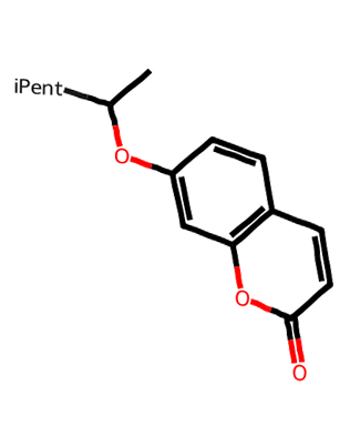 CCCC(C)C(C)Oc1ccc2ccc(=O)oc2c1